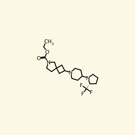 CCOC(=O)N1CCC2(CC(N3CCC(N4CCC[C@@H]4C(F)(F)F)CC3)C2)C1